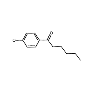 CCCCCC(=O)c1ccc([O])cc1